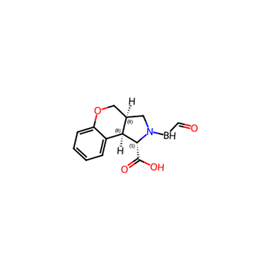 O=CBN1C[C@@H]2COc3ccccc3[C@@H]2[C@H]1C(=O)O